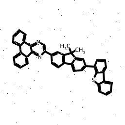 CC1(C)c2cc(-c3cnc4c5ccccc5c5ccccc5c4n3)ccc2-c2ccc(-c3cccc4c3sc3ccccc34)cc21